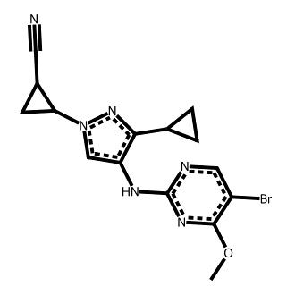 COc1nc(Nc2cn(C3CC3C#N)nc2C2CC2)ncc1Br